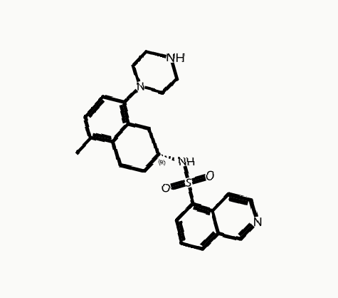 Cc1ccc(N2CCNCC2)c2c1CC[C@@H](NS(=O)(=O)c1cccc3cnccc13)C2